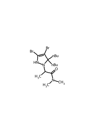 CCCCC1(CCCC)C(Br)=C(Br)NN1C(C)C(=O)N(C)C